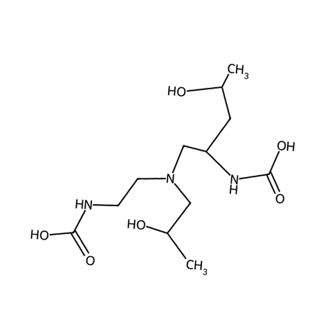 CC(O)CC(CN(CCNC(=O)O)CC(C)O)NC(=O)O